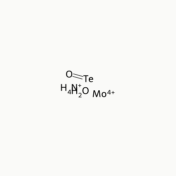 O.O=[Te].[Mo+4].[NH4+]